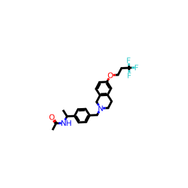 CC(=O)NC(C)c1ccc(CN2CCc3cc(OCCC(F)(F)F)ccc3C2)cc1